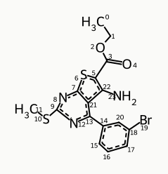 CCOC(=O)c1sc2nc(SC)nc(-c3cccc(Br)c3)c2c1N